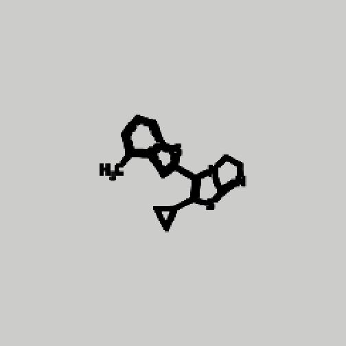 Cc1cccc2sc(C3=C(C4CC4)SC4=NCCN43)cc12